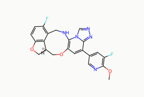 COc1ncc(-c2cc3c(n4cnnc24)NCc2c(F)ccc4c2[C@@H](CO4)CO3)cc1F